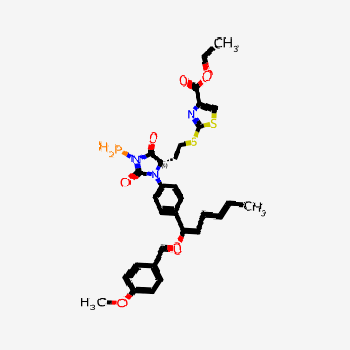 CCCCCC(OCc1ccc(OC)cc1)c1ccc(N2C(=O)N(P)C(=O)[C@@H]2CCSc2nc(C(=O)OCC)cs2)cc1